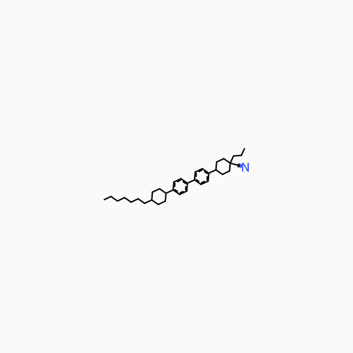 CCCCCCCC1CCC(c2ccc(-c3ccc(C4CCC(C#N)(CCC)CC4)cc3)cc2)CC1